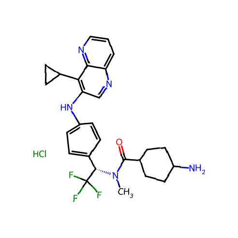 CN(C(=O)C1CCC(N)CC1)[C@@H](c1ccc(Nc2cnc3cccnc3c2C2CC2)cc1)C(F)(F)F.Cl